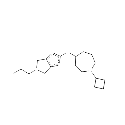 CCCN1Cc2nc(OC3CCCN(C4CCC4)CC3)sc2C1